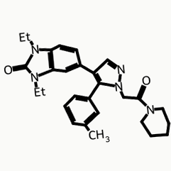 CCn1c(=O)n(CC)c2cc(-c3cnn(CC(=O)N4CCCCC4)c3-c3cccc(C)c3)ccc21